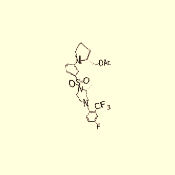 CC(=O)OC[C@H]1CCCN1c1cccc(S(=O)(=O)N2CCN(c3ccc(F)cc3C(F)(F)F)C[C@H]2C)c1